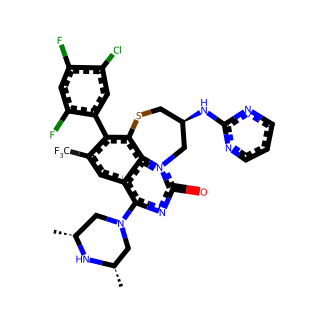 C[C@@H]1CN(c2nc(=O)n3c4c(c(-c5cc(Cl)c(F)cc5F)c(C(F)(F)F)cc24)SC[C@@H](Nc2ncccn2)C3)C[C@H](C)N1